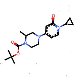 CC1CN(c2ccn(C3CC3)c(=O)c2)CCN1C(=O)OC(C)(C)C